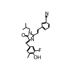 Cc1cc(/C=C2N=C(/C=C/c3cccc(C#N)c3)N(CC(C)C)C\2=O)cc(F)c1O